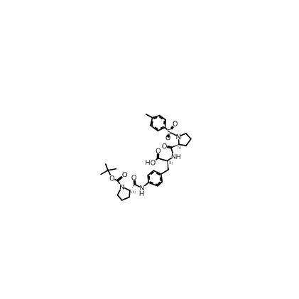 Cc1ccc(S(=O)(=O)N2CCC[C@H]2C(=O)N[C@@H](Cc2ccc(NC(=O)[C@@H]3CCCN3C(=O)OC(C)(C)C)cc2)C(=O)O)cc1